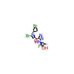 [CH2][C@@H]1C[C@@H](Nc2ncncc2C(=O)c2cc(Br)n(Cc3cccc(Br)c3)c2)[C@@H](F)[C@@H]1O